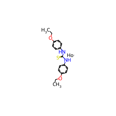 CCOc1ccc(NC(=S)Nc2ccc(OCC)cc2)cc1.[Ho]